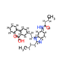 CCCCc1nc2ccc(NC(=O)CCC)cc2n1CCc1ccc(-c2ccccc2)c(C(=O)O)c1